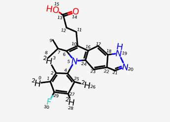 [2H]c1c([2H])c(-n2c(C(C)C)c(CCC(=O)O)c3cc4[nH]ncc4cc32)c([2H])c([2H])c1F